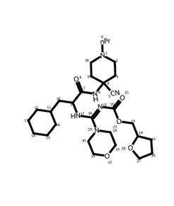 CCCN1CCC(C#N)(NC(=O)C(CC2CCCCC2)NC(=NC(=O)OCC2CCCO2)N2CCOCC2)CC1